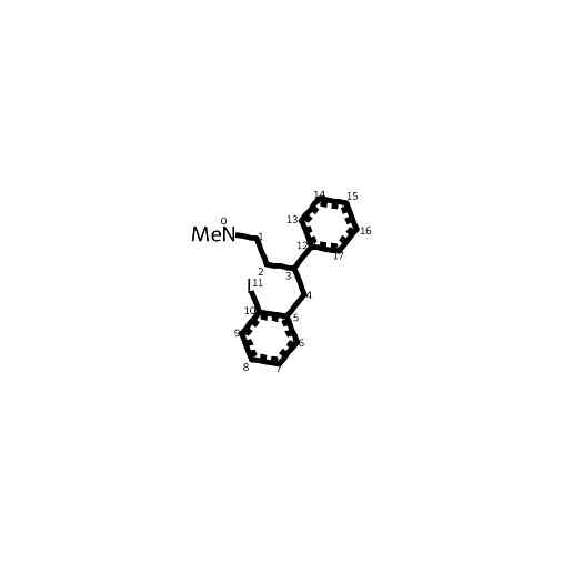 CNCCC(Cc1ccccc1I)c1ccccc1